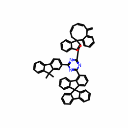 C=C1/C=C\C=C/CC2(c3ccccc31)c1ccccc1-c1c(-c3nc(-c4ccc5c(c4)C(C)(C)c4ccccc4-5)nc(-c4cccc5c4-c4ccccc4C54c5ccccc5-c5ccccc54)n3)cccc12